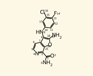 NC(=O)c1nccc2c(Nc3ccc(F)c(Cl)c3)c(N)oc12